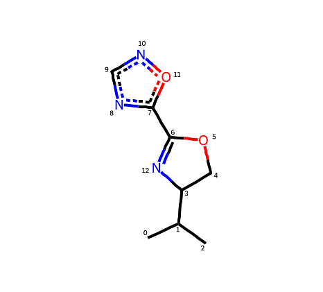 CC(C)C1COC(c2ncno2)=N1